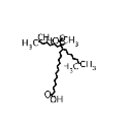 CCC(CCCCCC(C)C)(C(=O)O)C(CCCCCCCCCCCCC(=O)O)CCCCCC(C)C